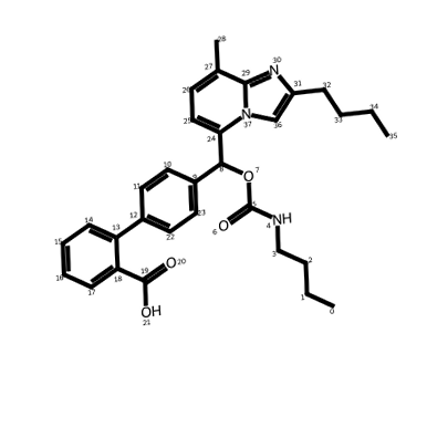 CCCCNC(=O)OC(c1ccc(-c2ccccc2C(=O)O)cc1)c1ccc(C)c2nc(CCCC)cn12